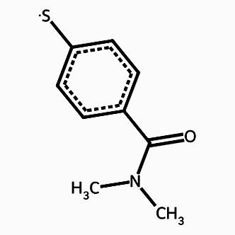 CN(C)C(=O)c1ccc([S])cc1